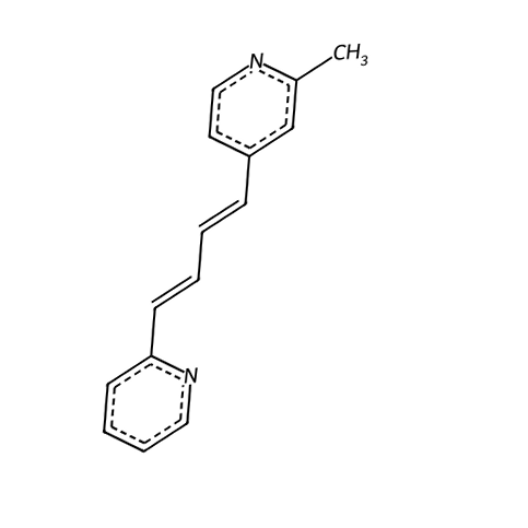 Cc1cc(C=CC=Cc2ccccn2)ccn1